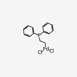 [Cl][Pd]([Cl])[CH2]CP(c1ccccc1)c1ccccc1